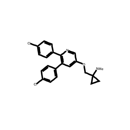 CNC1(COc2cnc(-c3ccc(Cl)cc3)c(-c3ccc(Cl)cc3)c2)CC1